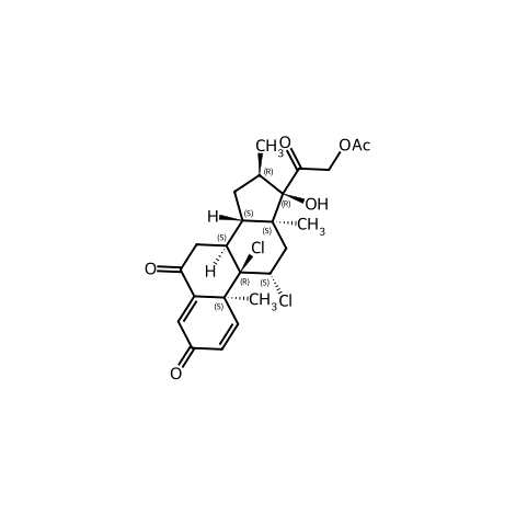 CC(=O)OCC(=O)[C@@]1(O)[C@H](C)C[C@H]2[C@@H]3CC(=O)C4=CC(=O)C=C[C@]4(C)[C@@]3(Cl)[C@@H](Cl)C[C@@]21C